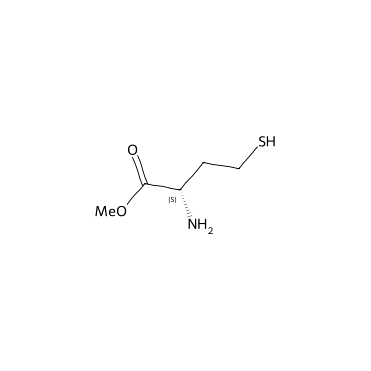 COC(=O)[C@@H](N)CCS